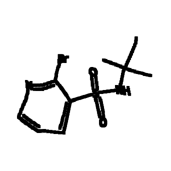 CC(C)(C)NS(=O)(=O)c1cccnc1Br